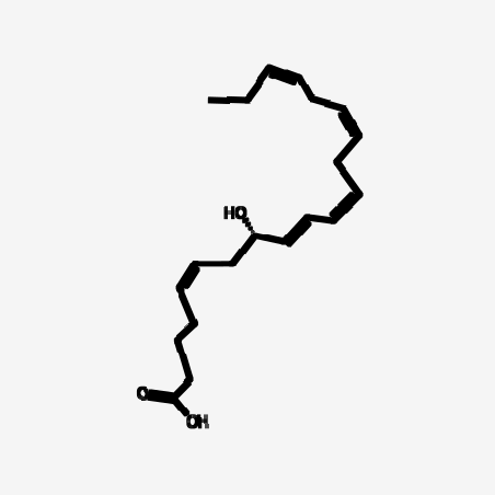 CC/C=C\C/C=C\C/C=C\C=C\[C@@H](O)C/C=C\CCCC(=O)O